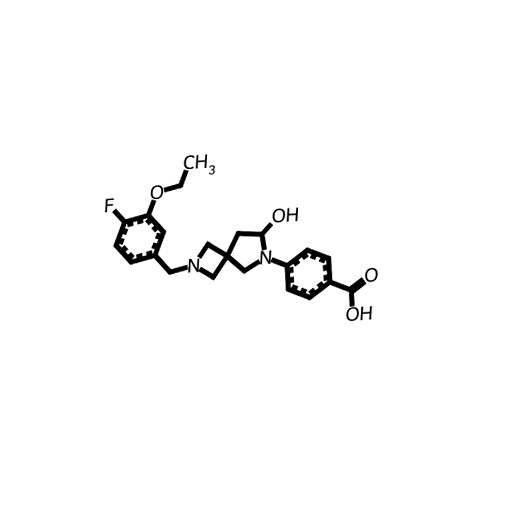 CCOc1cc(CN2CC3(CC(O)N(c4ccc(C(=O)O)cc4)C3)C2)ccc1F